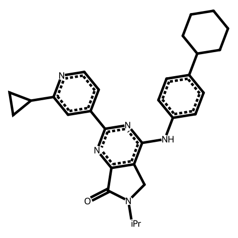 CC(C)N1Cc2c(Nc3ccc(C4CCCCC4)cc3)nc(-c3ccnc(C4CC4)c3)nc2C1=O